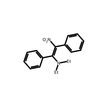 CCN(CC)C(=C(c1ccccc1)[N+](=O)[O-])c1ccccc1